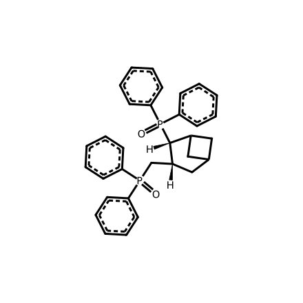 O=P(C[C@H]1CC2CC(C2)[C@H]1P(=O)(c1ccccc1)c1ccccc1)(c1ccccc1)c1ccccc1